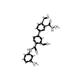 CNC(=O)c1cc(-c2ccc(C(=O)Nc3cccc(C)c3)c(C=O)c2)ccc1C=O